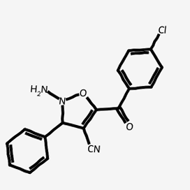 N#CC1=C(C(=O)c2ccc(Cl)cc2)ON(N)C1c1ccccc1